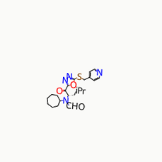 CC(C)C[C@@H](C(=O)c1nnc(SCc2ccncc2)o1)N(C=O)C1CCCCCC1